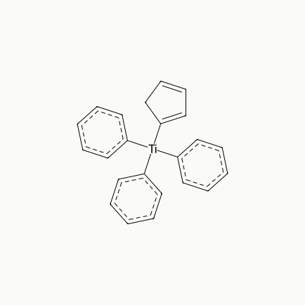 C1=CC[C]([Ti]([c]2ccccc2)([c]2ccccc2)[c]2ccccc2)=C1